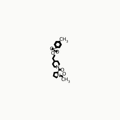 CC(=O)N1CCC[C@H]1C(=O)N1CCC(CCOS(=O)(=O)c2ccc(C)cc2)CC1